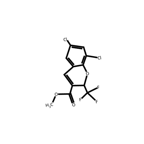 COC(=O)C1=Cc2cc(Cl)cc(Cl)c2OC1C(F)(F)F